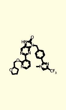 Cn1cc(C(F)(F)F)nc1-c1ccc(Cn2c(=O)[nH]c3cnc(-c4cccnc4OCC4CCCO4)nc32)cc1